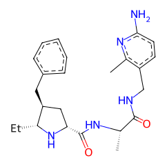 CC[C@H]1N[C@@H](C(=O)N[C@@H](C)C(=O)NCc2ccc(N)nc2C)C[C@@H]1Cc1ccccc1